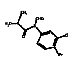 CC(C)c1ccc(N(C=O)C(=O)N(C)C)cc1Cl